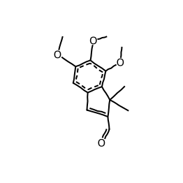 COc1cc2c(c(OC)c1OC)C(C)(C)C(C=O)=C2